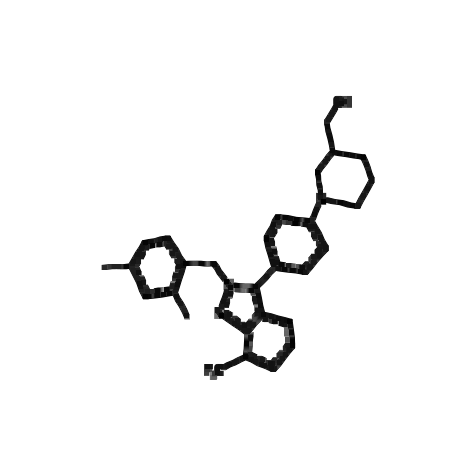 Cc1ccc(Cn2nc3c(C(F)(F)F)cccc3c2-c2ccc(N3CCCC(CO)C3)cc2)c(C)c1